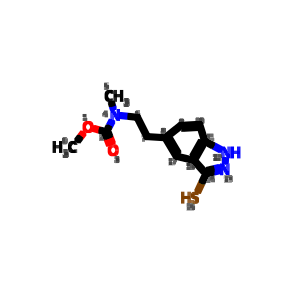 COC(=O)N(C)CCc1ccc2[nH]nc(S)c2c1